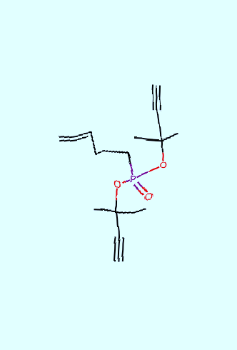 C#CC(C)(C)OP(=O)(CCC=C)OC(C)(C)C#C